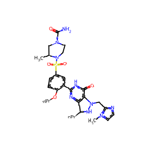 CCCOc1ccc(S(=O)(=O)N2CCN(C(N)=O)CC2C)cc1-c1nc2c(c(=O)[nH]1)N(Cc1nccn1C)NC2CCC